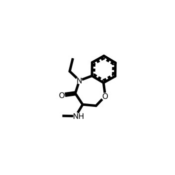 CCN1C(=O)C(NC)COc2ccccc21